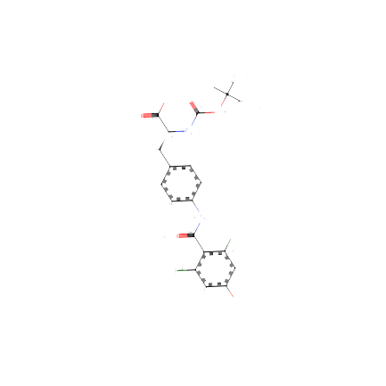 CC(C)(C)OC(=O)N[C@@H](Cc1ccc(NC(=O)c2c(Cl)cc(O)cc2Cl)cc1)C(=O)O